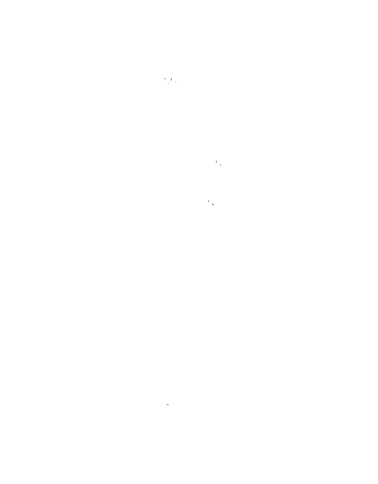 COc1ccc(Nc2nc(-c3ccc(OCc4ccc(Br)cc4)cc3)cs2)cc1